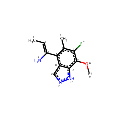 C/C=C(\N)c1c(C)c(F)c(OCC)c2[nH]ncc12